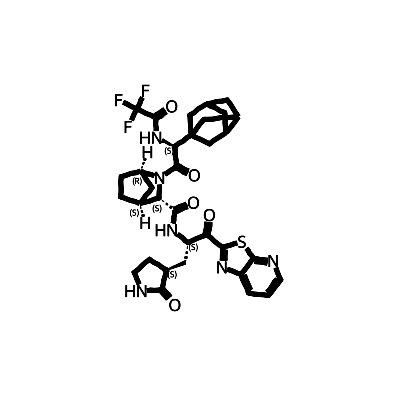 O=C1NCC[C@H]1C[C@H](NC(=O)[C@@H]1[C@H]2CC[C@H](C2)N1C(=O)[C@@H](NC(=O)C(F)(F)F)C12CC3CC(C1)C(C3)C2)C(=O)c1nc2cccnc2s1